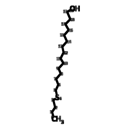 CCCCSCCCCCCCCCCCCCCCO